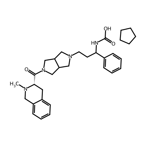 C1CCCC1.CN1Cc2ccccc2C[C@H]1C(=O)N1CC2CN(CCC(NC(=O)O)c3ccccc3)CC2C1